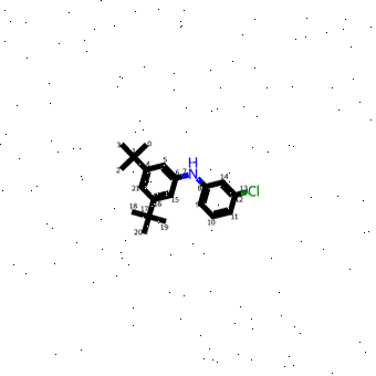 CC(C)(C)c1cc(Nc2cccc(Cl)c2)cc(C(C)(C)C)c1